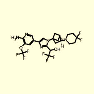 Nc1ncc(-c2cn(C34CC(C3)[C@@H](N3CCC(F)(F)CC3)C4)c(C(O)C(F)(F)F)n2)cc1OC(F)(F)F